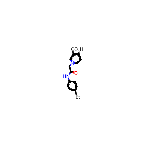 CCc1ccc(NC(=O)C[n+]2cccc(C(=O)O)c2)cc1